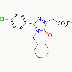 CCOC(=O)Cn1nc(-c2ccc(Cl)cc2)n(CC2CCCCC2)c1=O